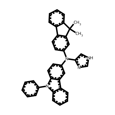 CC1(C)c2ccccc2-c2ccc(N(c3ccc4c(c3)c3ccccc3n4-c3ccccc3)c3c[nH]cn3)cc21